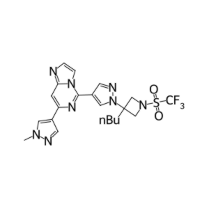 CCCCC1(n2cc(-c3nc(-c4cnn(C)c4)cc4nccn34)cn2)CN(S(=O)(=O)C(F)(F)F)C1